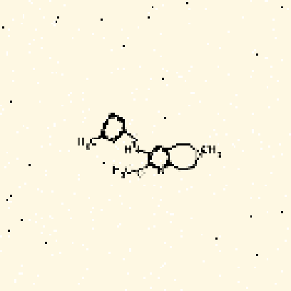 COc1nc2c(cc1NSc1cccc(C)c1)CCN(C)CC2